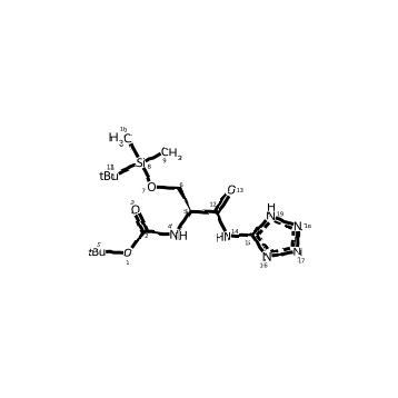 CC(C)(C)OC(=O)N[C@@H](CO[Si](C)(C)C(C)(C)C)C(=O)Nc1nnn[nH]1